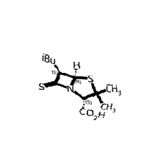 CCC(C)[C@@H]1C(=S)N2[C@@H]1SC(C)(C)[C@@H]2C(=O)O